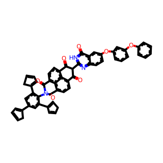 O=C1c2ccc3c4c(ccc(c24)C(=O)C1c1nc2ccc(Oc4cccc(Oc5ccccc5)c4)cc2c(=O)[nH]1)C(=O)N(c1c(C2=CCC=C2)cc(C2=CC=CC2)cc1C1=CC=CC1)C3=O